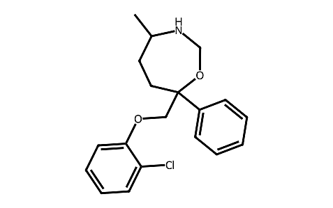 CC1CCC(COc2ccccc2Cl)(c2ccccc2)OCN1